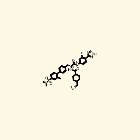 Cc1cc(S(=O)(=O)N(C)C)ccc1-c1ccc(C[C@H](NC(=O)C2CCC(CN)CC2)C(=O)Nc2ccc(-c3nn[nH]n3)c(F)c2)cc1